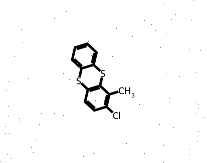 Cc1c(Cl)ccc2c1Sc1ccccc1S2